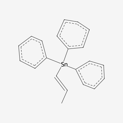 CC=[CH][Sn]([c]1ccccc1)([c]1ccccc1)[c]1ccccc1